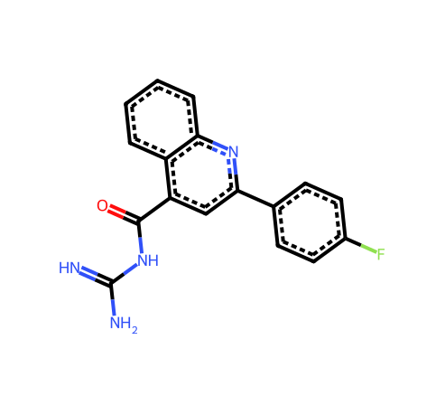 N=C(N)NC(=O)c1cc(-c2ccc(F)cc2)nc2ccccc12